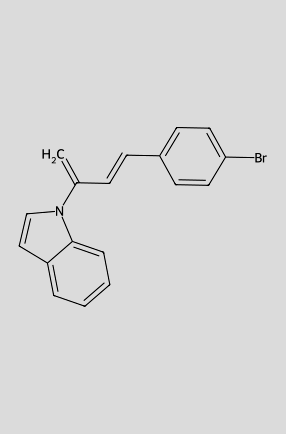 C=C(C=Cc1ccc(Br)cc1)n1ccc2ccccc21